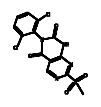 CS(=O)(=O)c1ncc2c(=O)n(-c3c(Cl)cccc3Cl)c(=O)[nH]c2n1